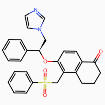 O=C1CCCc2c1ccc(O[C@H](Cn1ccnc1)c1ccccc1)c2CS(=O)(=O)c1ccccc1